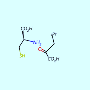 CC(C)CC(=O)C(=O)O.N[C@@H](CS)C(=O)O